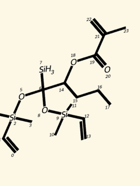 C=C[Si](C)(C)OC([SiH3])(O[Si](C)(C)C=C)C(CCC)OC(=O)C(=C)C